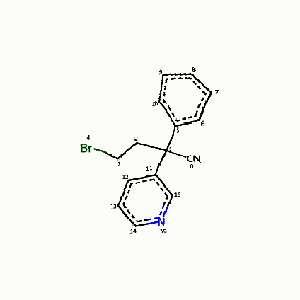 N#CC(CCBr)(c1ccccc1)c1cccnc1